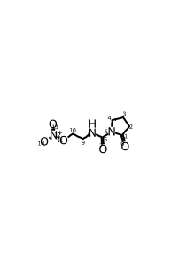 O=C1CC[CH]N1C(=O)NCCO[N+](=O)[O-]